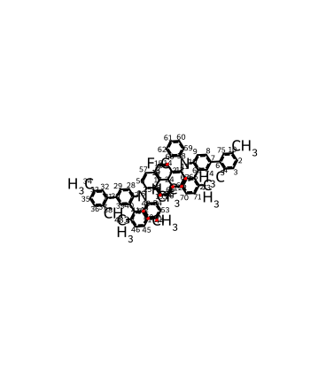 Cc1ccc(C)c(-c2ccc(N(C3=C4C=CC5=C6C(=CC=C(C=C3)C46)C(N(c3ccc(-c4cc(C)ccc4C)cc3-c3cc(C)ccc3C)c3ccccc3C(F)(F)F)C=C5)c3ccccc3C(F)(F)F)c(-c3cc(C)ccc3C)c2)c1